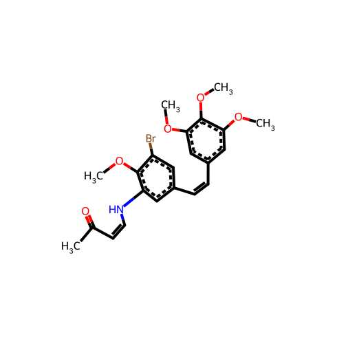 COc1cc(/C=C\c2cc(Br)c(OC)c(N/C=C\C(C)=O)c2)cc(OC)c1OC